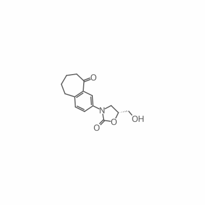 O=C1CCCCc2ccc(N3C[C@H](CO)OC3=O)cc21